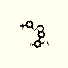 Cc1ccc(F)cc1-c1ccc2c(c1)N(Sc1cccc(C(F)(F)F)c1)CCC2